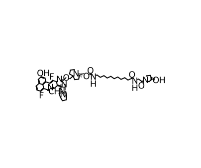 C#Cc1c(F)ccc2cc(O)cc(-c3ncc4c(N5CC6CCC(C5)N6)nc(OCC56CCCN5[C@@H](COC(=O)NCCCCCCCCCCC(=O)NCC(=O)N5CC[C@@H](O)C5)CC6)nc4c3F)c12